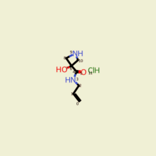 C=CCNC(=O)C1(O)CNC1.Cl